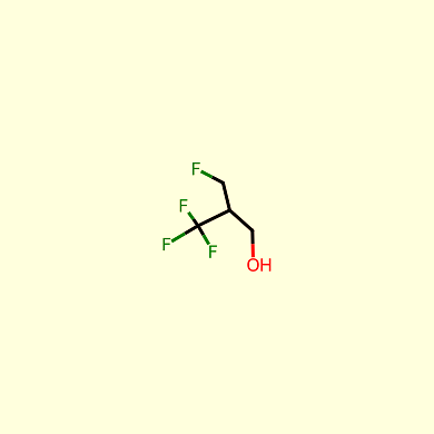 OCC(CF)C(F)(F)F